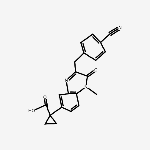 Cn1c(=O)c(Cc2ccc(C#N)cc2)nc2cc(C3(C(=O)O)CC3)ccc21